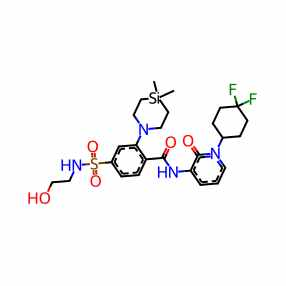 C[Si]1(C)CCN(c2cc(S(=O)(=O)NCCO)ccc2C(=O)Nc2cccn(C3CCC(F)(F)CC3)c2=O)CC1